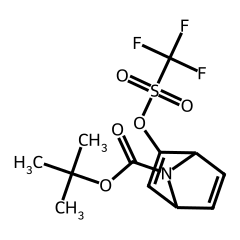 CC(C)(C)OC(=O)N1C2C=CC1C(OS(=O)(=O)C(F)(F)F)=C2